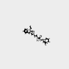 CCOP(=S)(CNSCNC(=O)ON=CC1(C)SCCCS1)Oc1cccs1